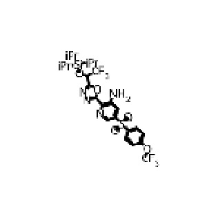 CC(C)[Si](OC(c1nnc(-c2ncc(S(=O)(=O)c3ccc(OC(F)(F)F)cc3)cc2N)o1)C(F)(F)F)(C(C)C)C(C)C